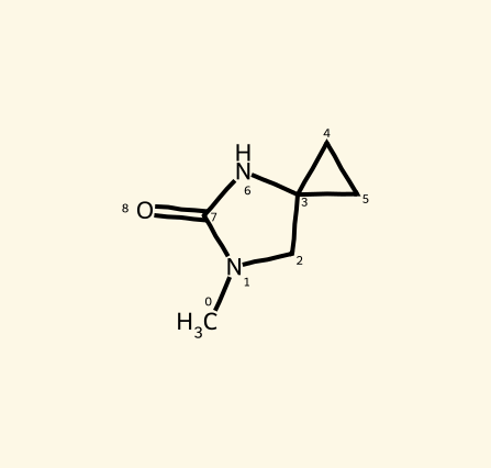 CN1CC2(CC2)NC1=O